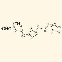 CC([C]=O)CCOC1CCC(CCCC2C[CH]CC2)C1